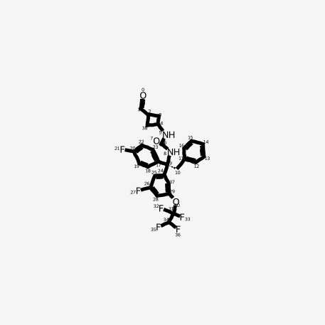 O=CC1CC(NC(=O)N[C@](Cc2ccccc2)(c2ccc(F)cc2)c2cc(F)cc(OC(F)(F)C(F)F)c2)C1